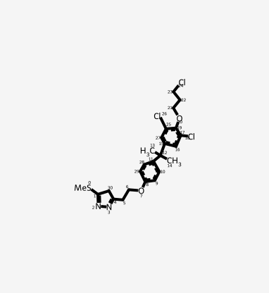 CSC1=NN=C(CCOc2ccc(C(C)(C)c3cc(Cl)c(OCCCCl)c(Cl)c3)cc2)C1